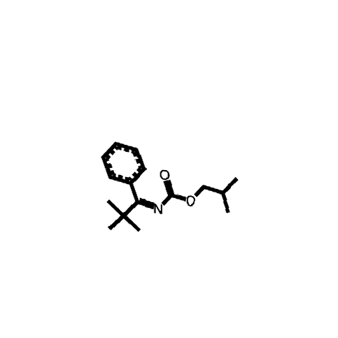 CC(C)COC(=O)/N=C(\c1ccccc1)C(C)(C)C